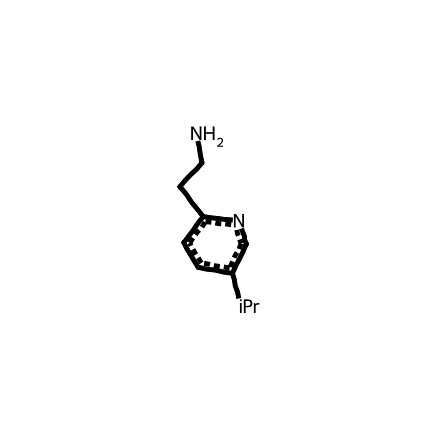 CC(C)c1ccc(CCN)nc1